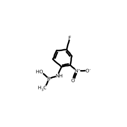 CB(O)Nc1ccc(F)cc1[N+](=O)[O-]